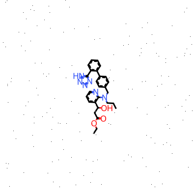 CCCN(Cc1ccc(-c2ccccc2-c2nnn[nH]2)cc1)c1ncccc1C(O)CC(=O)OCC